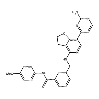 COc1ccc(NC(=O)c2cccc(CNc3ncc(-c4ccnc(N)n4)c4c3CCO4)c2)nc1